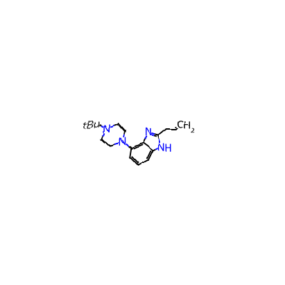 C=CCc1nc2c(N3CCN(C(C)(C)C)CC3)cccc2[nH]1